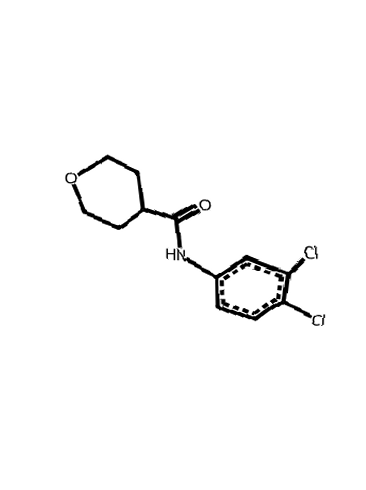 O=C(Nc1ccc(Cl)c(Cl)c1)C1CCOCC1